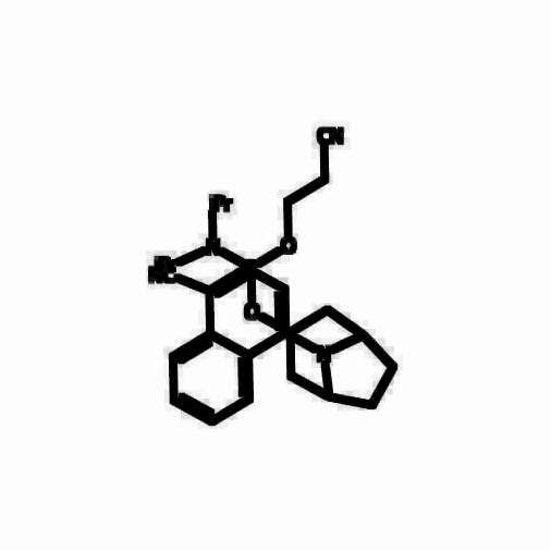 CC(C)N(C(C)C)P(OCCC#N)OC1CC2CCC(C1)N2c1ccc(C#N)c2ccccc12